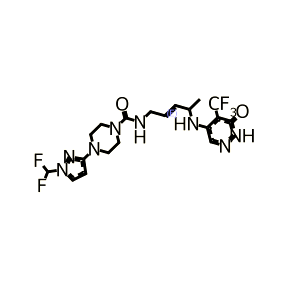 CC(/C=C/CNC(=O)N1CCN(c2ccn(C(F)F)n2)CC1)Nc1cn[nH]c(=O)c1C(F)(F)F